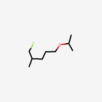 CC(CF)CCCOC(C)C